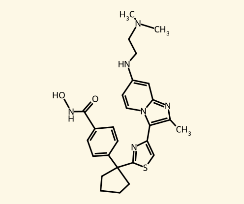 Cc1nc2cc(NCCN(C)C)ccn2c1-c1csc(C2(c3ccc(C(=O)NO)cc3)CCCC2)n1